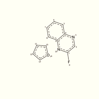 Fc1cnc2ccccc2n1.c1ccoc1